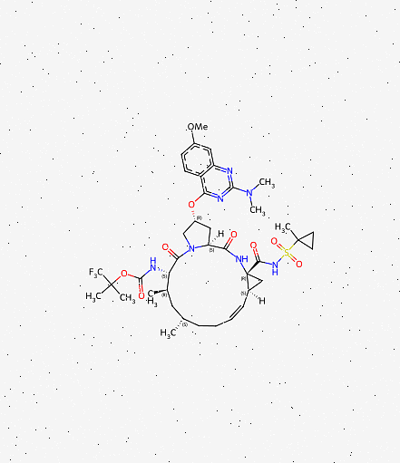 COc1ccc2c(O[C@@H]3C[C@H]4C(=O)N[C@]5(C(=O)NS(=O)(=O)C6(C)CC6)C[C@H]5C=CCC[C@H](C)C[C@@H](C)[C@H](NC(=O)OC(C)(C)C(F)(F)F)C(=O)N4C3)nc(N(C)C)nc2c1